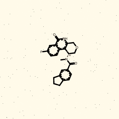 CN(C(=O)c1ccc2c(c1)CCC2)[C@H]1COCc2[nH]c(=O)c3cc(F)ccc3c21